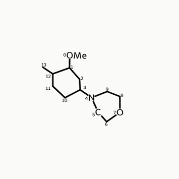 COC1CC(N2CCOCC2)CCC1C